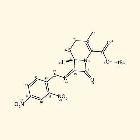 CC1=C(C(=O)OC(C)(C)C)N2C(=O)C(=NSc3ccc([N+](=O)[O-])cc3[N+](=O)[O-])[C@@H]2SC1